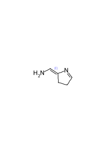 N/C=C1\CCC=N1